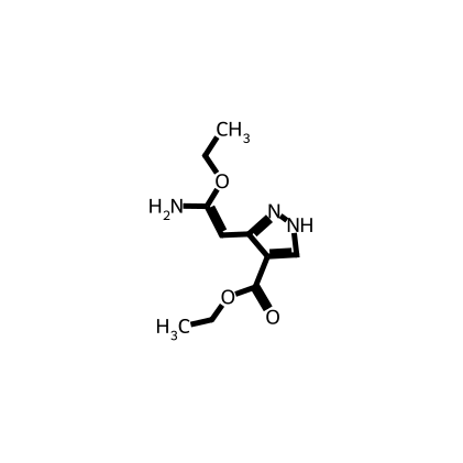 CCOC(=O)c1c[nH]nc1C=C(N)OCC